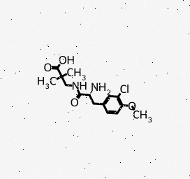 COc1ccc(C[C@@H](N)C(=O)NCC(C)(C)C(=O)O)cc1Cl